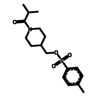 Cc1ccc(S(=O)(=O)OCC2CCN(C(=O)C(C)C)CC2)cc1